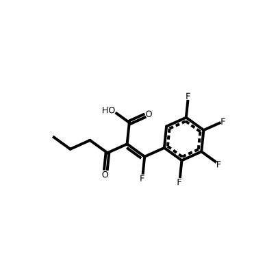 CCCC(=O)C(C(=O)O)=C(F)c1cc(F)c(F)c(F)c1F